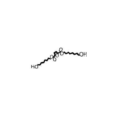 O=C(OCCCCCCCCO)c1ccc(C(=O)OCCCCCCCCO)o1